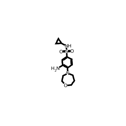 Nc1cc(S(=O)(=O)NC2CC2)ccc1N1CCCOCC1